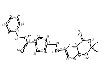 CC1(C)OC(=O)C2=CC(NCc3ccc(C(=O)OCc4ccccc4)cc3)=CCC2O1